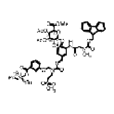 COC(=O)[C@H]1O[C@@H](Oc2ccc(COC(=O)N(CCS(C)(=O)=O)COc3cccc(C(=O)O[Si](CC(C)C)(C(C)(C)C)C(C)(C)C)c3)cc2NC(=O)CN(C)C(=O)OCC2c3ccccc3-c3ccccc32)[C@H](OC(C)=O)[C@@H](OC(C)=O)[C@@H]1OC(C)=O